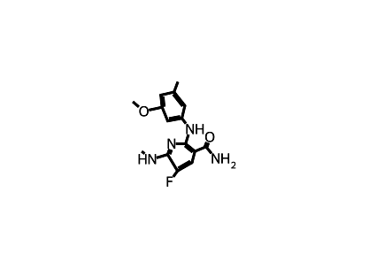 CNc1nc(Nc2cc(C)cc(OC)c2)c(C(N)=O)cc1F